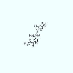 CC(=O)Nc1cc(C(=N)NCCSc2ncc(C(F)(F)F)cc2Cl)ccn1